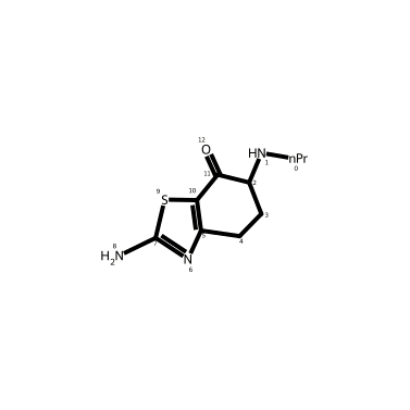 CCCNC1CCc2nc(N)sc2C1=O